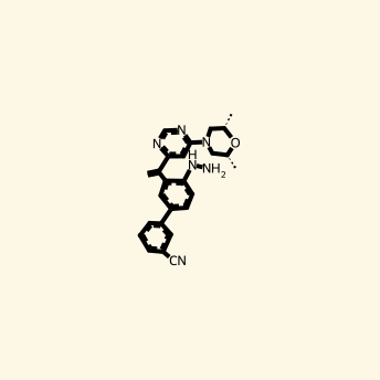 C=C(c1cc(N2C[C@@H](C)O[C@@H](C)C2)ncn1)c1cc(-c2cccc(C#N)c2)ccc1NN